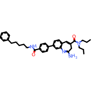 CCCN(CCC)C(=O)C1=Cc2ccc(-c3ccc(C(=O)N[CH]CC[CH]Cc4ccccc4)cc3)cc2N=C(N)C1